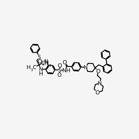 CC(C)(CSc1ccccc1)Nc1ccc(S(=O)(=O)NC(=O)c2ccc(N3CCC(Cc4ccccc4-c4ccccc4)(OCCN4CCOCC4)CC3)cc2)cc1[N+](=O)[O-]